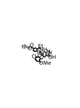 CC[C@@H](NC(=O)N1Cc2nnc(O)n2C[C@H](Cc2cc(Cl)ccc2OC)C1=O)c1cccc(C(=O)OC(C)(C)C)c1